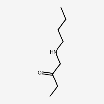 CCCCNCC(=O)CC